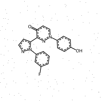 O=c1ccn(-c2ccc(O)cc2)nc1-c1ccnn1-c1cccc(F)c1